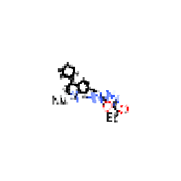 CCC(=O)c1nnc(NCc2ccc3c(-c4ccccc4)cc(C#N)nc3c2)o1